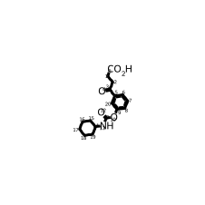 O=C(O)CCC(=O)c1cccc(OC(=O)NC2CCCCC2)c1